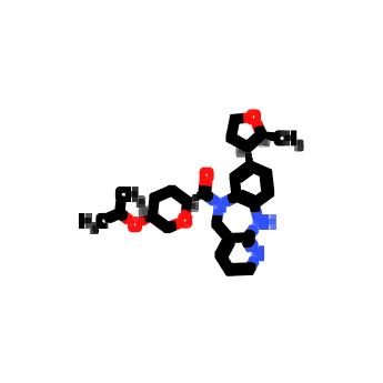 CC(C)O[C@H]1CC[C@H](C(=O)N2Cc3cccnc3Nc3ccc([C@@H]4CCO[C@H]4C)cc32)OC1